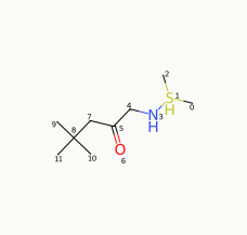 C[SH](C)NCC(=O)CC(C)(C)C